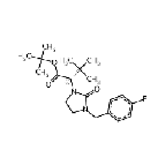 CC(C)(C)OC(=O)[C@@H](N1CCN(Cc2ccc(F)cc2)C1=O)C(C)(C)C